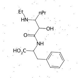 CCCC(NCC)C(O)C(=O)NC(Cc1ccccc1)C(=O)O